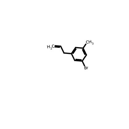 C=CCc1cc(C)cc(Br)c1